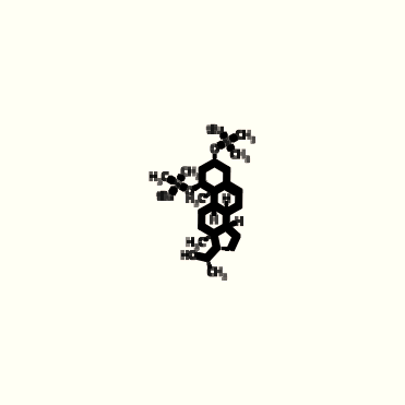 C[C@H](O)[C@H]1CC[C@H]2[C@@H]3CC=C4C[C@@H](O[Si](C)(C)C(C)(C)C)C[C@H](O[Si](C)(C)C(C)(C)C)[C@]4(C)[C@H]3CC[C@]12C